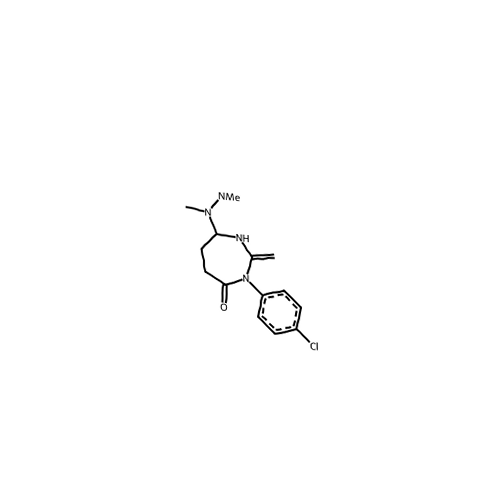 C=C1NC(N(C)NC)CCC(=O)N1c1ccc(Cl)cc1